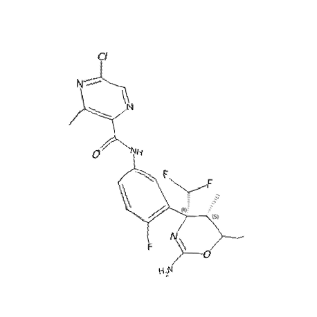 Cc1nc(Cl)cnc1C(=O)Nc1ccc(F)c([C@]2(C(F)F)N=C(N)OC(C)[C@H]2C)c1